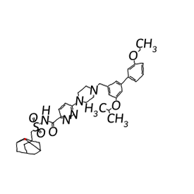 CCOc1cccc(-c2cc(CN3CCN(c4ccc(C(=O)NS(=O)(=O)CC56CC7CC(CC(C7)C5)C6)nn4)CC3)cc(OC(C)C)c2)c1